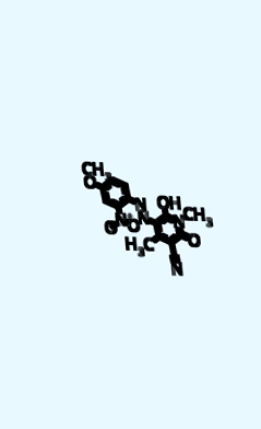 COc1ccc(/N=N/c2c(C)c(C#N)c(=O)n(C)c2O)c([N+](=O)[O-])c1